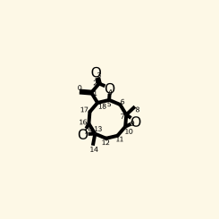 C=C1C(=O)OC2CC3(C)OC3CCC3(C)OC3CC12